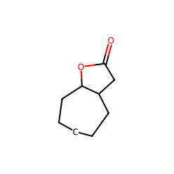 O=C1CC2CCCCCC2O1